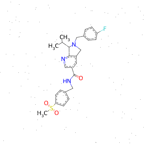 CC(C)C1c2ncc(C(=O)NCc3ccc(S(C)(=O)=O)cc3)cc2CN1Cc1ccc(F)cc1